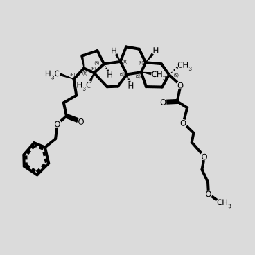 COCCOCCOCC(=O)O[C@@]1(C)CC[C@@]2(C)[C@H](CC[C@@H]3[C@@H]2CC[C@]2(C)[C@@H]([C@H](C)CCC(=O)OCc4ccccc4)CC[C@@H]32)C1